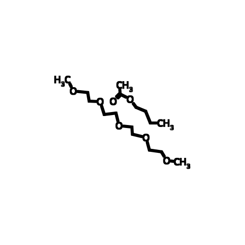 CCCCOC(C)=O.COCCOCCOCCOCCOC